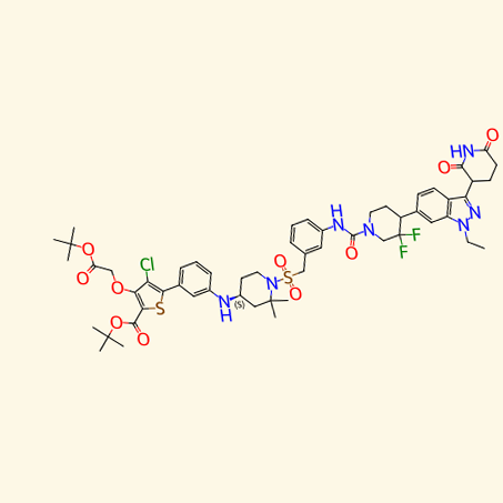 CCn1nc(C2CCC(=O)NC2=O)c2ccc(C3CCN(C(=O)Nc4cccc(CS(=O)(=O)N5CC[C@H](Nc6cccc(-c7sc(C(=O)OC(C)(C)C)c(OCC(=O)OC(C)(C)C)c7Cl)c6)CC5(C)C)c4)CC3(F)F)cc21